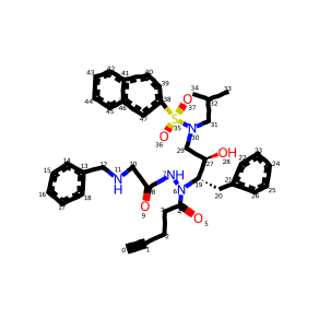 C#CCCC(=O)N(NC(=O)CNCc1ccccc1)[C@@H](Cc1ccccc1)[C@H](O)CN(CC(C)C)S(=O)(=O)c1ccc2ccccc2c1